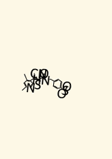 Cc1cc(C)c2c(C#N)c(C(=O)NCc3ccc(S(C)(=O)=O)cc3)sc2n1